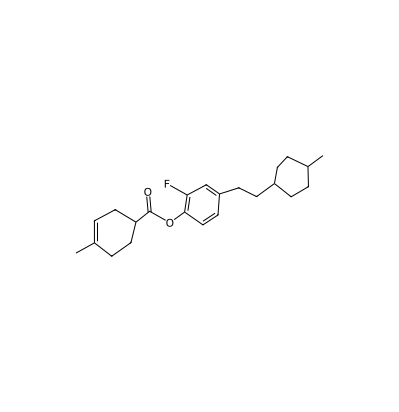 CC1=CCC(C(=O)Oc2ccc(CCC3CCC(C)CC3)cc2F)CC1